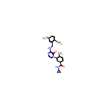 Cc1ccc(C)c(CNc2nccn(-c3cc(C(=O)NC4CC4)ccc3C)c2=O)c1